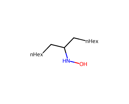 CCCCCCCC(CCCCCCC)NO